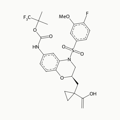 C=C(O)C1(C[C@@H]2CN(S(=O)(=O)c3ccc(F)c(OC)c3)c3cc(NC(=O)OC(C)(C)C(F)(F)F)ccc3O2)CC1